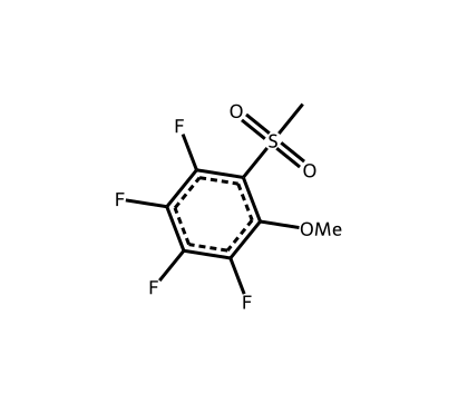 COc1c(F)c(F)c(F)c(F)c1S(C)(=O)=O